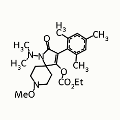 CCOC(=O)OC1=C(c2c(C)cc(C)cc2C)C(=O)N(N(C)C)C12CCN(OC)CC2